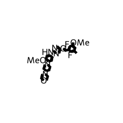 COc1cc(Nc2ncc(OCc3c(F)c(C)cc(OC)c3F)cn2)ccc1N1CCC(N2CCOCC2)CC1